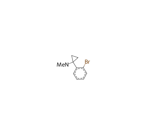 CNC1(c2ccccc2Br)CC1